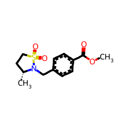 COC(=O)c1ccc(CN2[C@H](C)CCS2(=O)=O)cc1